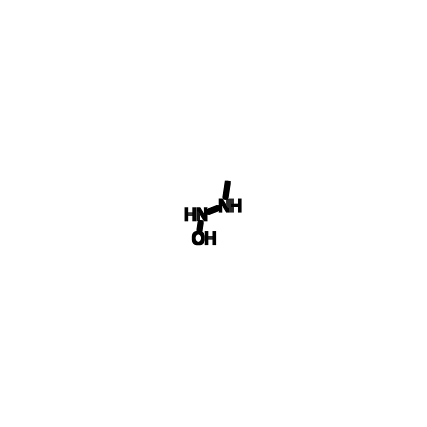 CNNO